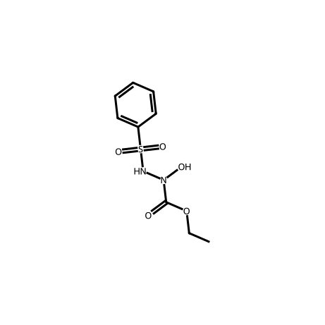 CCOC(=O)N(O)NS(=O)(=O)c1ccccc1